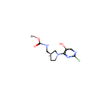 CC(C)(C)OC(=O)NC[C@@H]1CCN(c2nc(Cl)ncc2O)C1